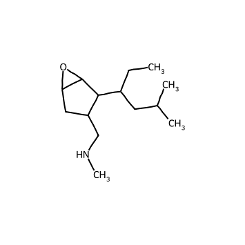 CCC(CC(C)C)C1C(CNC)CC2OC21